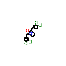 O=C1/C(=C/c2ccc(Cl)c(Cl)c2)C2CCCC(N2)/C1=C\c1ccc(Cl)c(Cl)c1